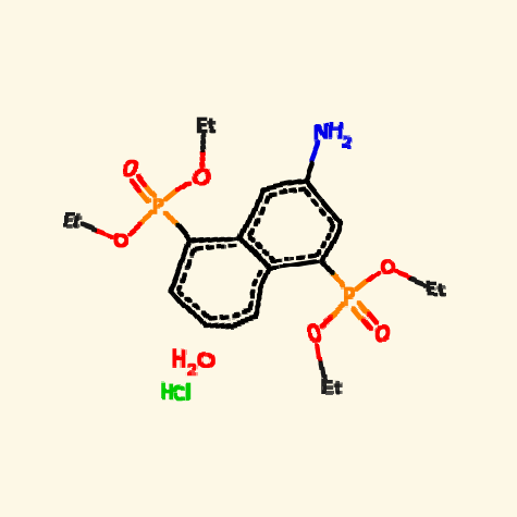 CCOP(=O)(OCC)c1cc(N)cc2c(P(=O)(OCC)OCC)cccc12.Cl.O